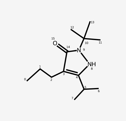 CCCc1c(C(C)C)[nH]n(C(C)(C)C)c1=O